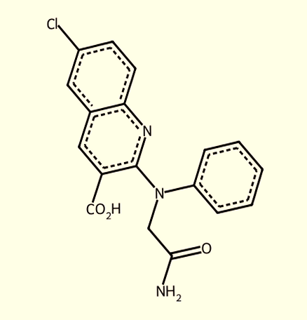 NC(=O)CN(c1ccccc1)c1nc2ccc(Cl)cc2cc1C(=O)O